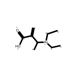 C=C(C(=O)O)C(C)[As](CC)CC